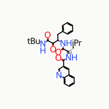 CC(C)C[C@H](NC(=O)c1cnc2ccccc2c1)C(=O)NC(Cc1ccccc1)C(=O)C(=O)NC(C)(C)C